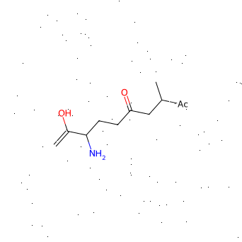 C=C(O)C(N)CCC(=O)CC(C)C(C)=O